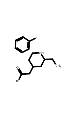 CCC1CC(CC(=O)O)CCN1.Fc1ccccc1